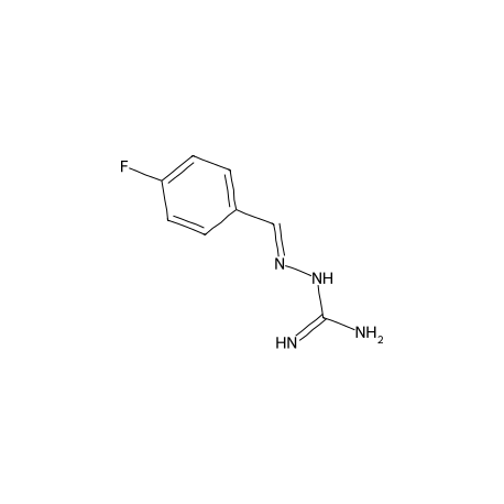 N=C(N)NN=Cc1ccc(F)cc1